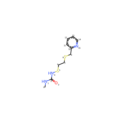 CNC(=O)NSCCSCc1ccccn1